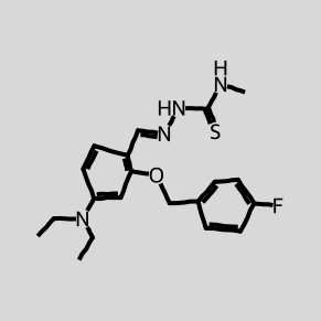 CCN(CC)c1ccc(C=NNC(=S)NC)c(OCc2ccc(F)cc2)c1